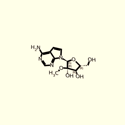 CO[C@]1(O)[C@H](O)[C@@H](CO)O[C@@H]1n1ccc2c(N)ncnc21